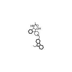 CCn1c2ccccc2c2cc(CN3CCC4(CC3)c3ccccc3C(NC(C)=O)C4O)ccc21